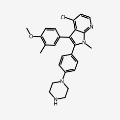 COc1ccc(-c2c(-c3ccc(N4CCNCC4)cc3)n(C)c3nccc(Cl)c23)cc1C